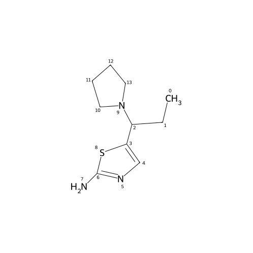 CCC(c1cnc(N)s1)N1CCCC1